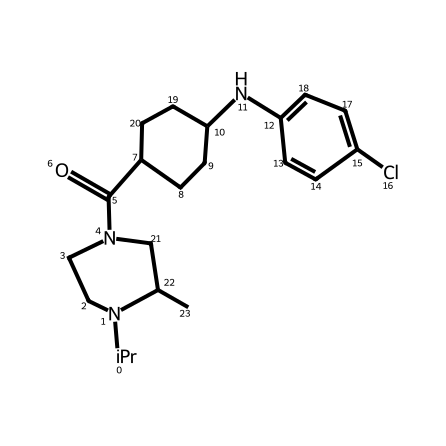 CC(C)N1CCN(C(=O)C2CCC(Nc3ccc(Cl)cc3)CC2)CC1C